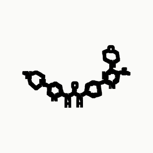 CSc1cnc(-c2ccc(NC(=O)Nc3ccc(N4CCN(C)CC4)cn3)cc2)nc1N1CCOCC1